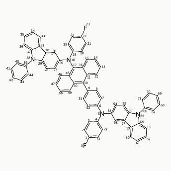 Fc1ccc(N(c2ccc(-c3c4ccccc4c(N(c4ccc(F)cc4)c4ccc5c(c4)c4ccccc4n5-c4ccccc4)c4ccccc34)cc2)c2ccc3c(c2)c2ccccc2n3-c2ccccc2)cc1